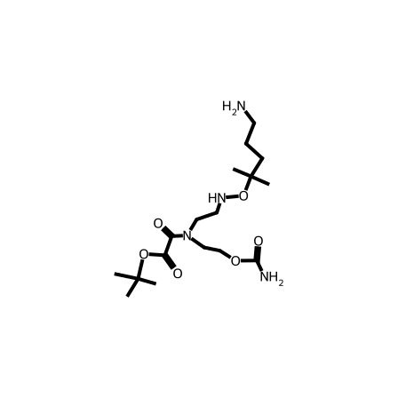 CC(C)(C)OC(=O)C(=O)N(CCNOC(C)(C)CCCN)CCOC(N)=O